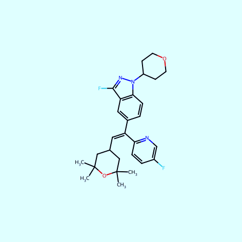 CC1(C)CC(C=C(c2ccc3c(c2)c(F)nn3C2CCOCC2)c2ccc(F)cn2)CC(C)(C)O1